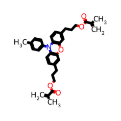 C=C(C)C(=O)OCCCc1ccc2c(c1)Oc1cc(CCCOC(=O)C(=C)C)ccc1N2c1ccc(C)cc1